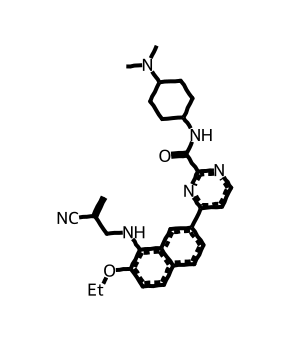 C=C(C#N)CNc1c(OCC)ccc2ccc(-c3ccnc(C(=O)NC4CCC(N(C)C)CC4)n3)cc12